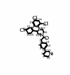 O=C(Cc1ccc(-c2cccnc2)cc1)N1CCN(c2ccc(Cl)cc2Cl)C(c2ccc(Cl)cc2)C1